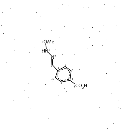 CONN=Cc1ccc(C(=O)O)cc1